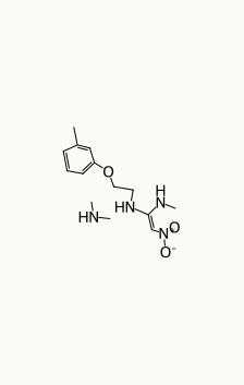 CNC.CNC(=C[N+](=O)[O-])NCCOc1cccc(C)c1